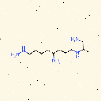 CC(CN)NCCCC(N)CCCCNN